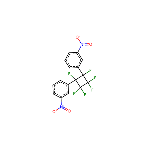 O=[N+]([O-])c1cccc(C2(F)C(F)(F)C(F)(F)C2(F)c2cccc([N+](=O)[O-])c2)c1